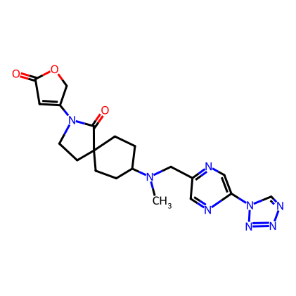 CN(Cc1cnc(-n2cnnn2)cn1)C1CCC2(CC1)CCN(C1=CC(=O)OC1)C2=O